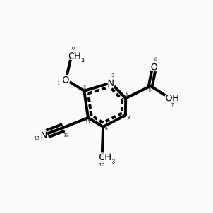 COc1nc(C(=O)O)cc(C)c1C#N